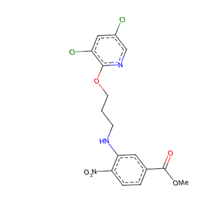 COC(=O)c1ccc([N+](=O)[O-])c(NCCCOc2ncc(Cl)cc2Cl)c1